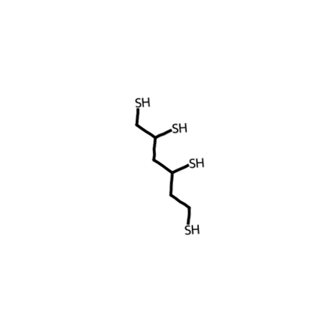 SCCC(S)CC(S)CS